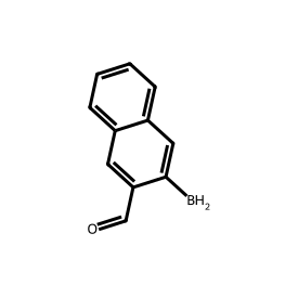 Bc1cc2ccccc2cc1C=O